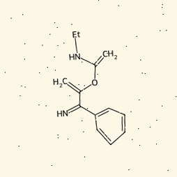 C=C(NCC)OC(=C)C(=N)c1ccccc1